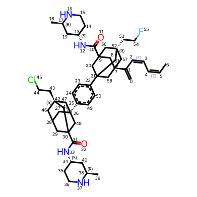 C=C(/C=C\C=C/C)[C@@]12CC3(C(=O)N[C@H]4CCN[C@H](C)C4)CC(c4ccc([C@]56CC7CC(C(=O)N[C@H]8CCN[C@H](C)C8)(C[C@](CCCl)(C7)C5)C6)cc4)(C[C@@](CCF)(C3)C1)C2